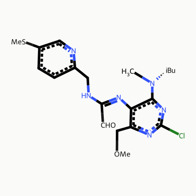 CC[C@@H](C)N(C)c1nc(Cl)nc(COC)c1/N=C(\C=O)NCc1ccc(SC)cn1